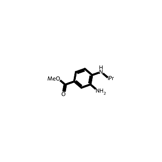 COC(=O)c1ccc(NC(C)C)c(N)c1